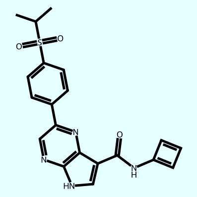 CC(C)S(=O)(=O)c1ccc(-c2cnc3[nH]cc(C(=O)NC4=CC=C4)c3n2)cc1